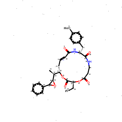 COc1ccc(C[C@H]2NC(=O)/C=C/C[C@@H]([C@H](C)[C@H]3OC3c3ccccc3)OC(=O)[C@H](CC(C)C)OC(=O)CCNC2=O)cc1